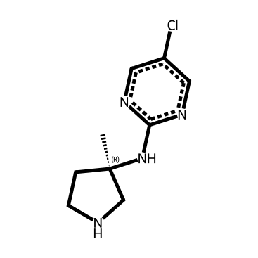 C[C@@]1(Nc2ncc(Cl)cn2)CCNC1